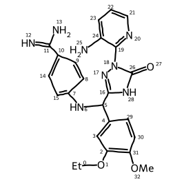 CCOc1cc(C(Nc2ccc(C(=N)N)cc2)c2nn(-c3ncccc3N)c(=O)[nH]2)ccc1OC